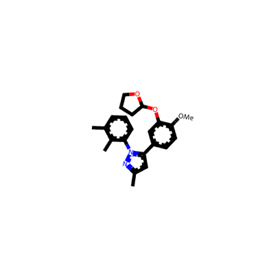 COc1ccc(-c2cc(C)nn2-c2cccc(C)c2C)cc1OC1CCCO1